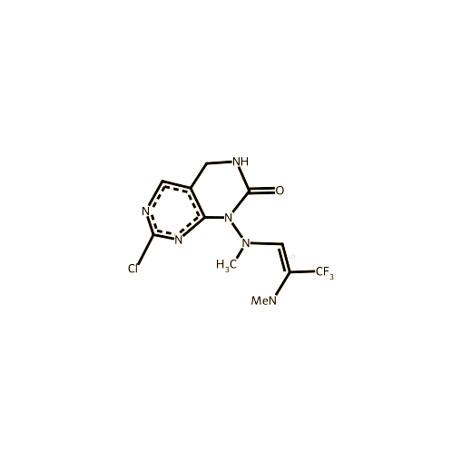 CN/C(=C\N(C)N1C(=O)NCc2cnc(Cl)nc21)C(F)(F)F